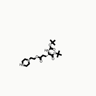 CC(C)(C)OC(=O)N[C@@H](CCC(=O)OCCN1CCNCC1)C(=O)OC(C)(C)C